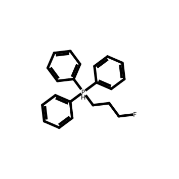 FCCC[PH](c1ccccc1)(c1ccccc1)c1ccccc1